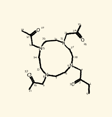 CCC(=O)CN1CCN(CC(C)=O)CCN(CC(C)=O)CCN(CC(C)=O)CC1